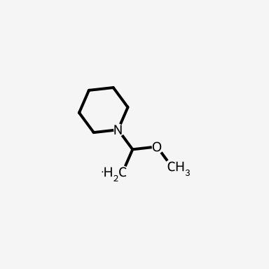 [CH2]C(OC)N1CCCCC1